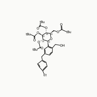 CCc1ccc(Cc2ccc(CO)c([C@@H]3O[C@H](COC(=O)C(C)(C)C)[C@@H](OC(=O)C(C)(C)C)[C@H](OC(=O)C(C)(C)C)[C@H]3OC(=O)C(C)(C)C)c2)cc1